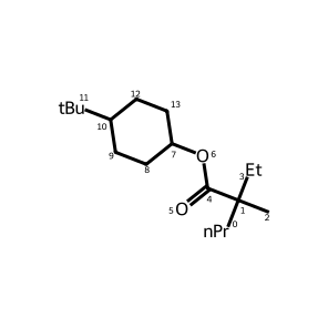 CCCC(C)(CC)C(=O)OC1CCC(C(C)(C)C)CC1